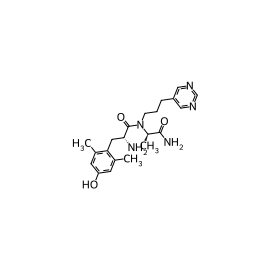 Cc1cc(O)cc(C)c1C[C@@H](N)C(=O)N(CCCc1cncnc1)[C@H](C)C(N)=O